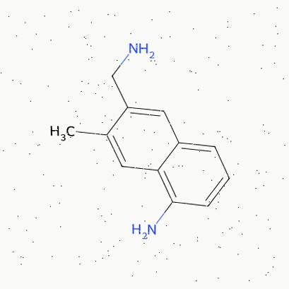 Cc1cc2c(N)cccc2cc1CN